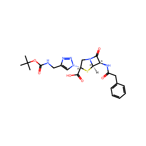 CC(C)(C)OC(=O)NCc1cn([C@]2(C(=O)O)CN3C(=O)[C@@H](NC(=O)Cc4ccccc4)[C@H]3S2)nn1